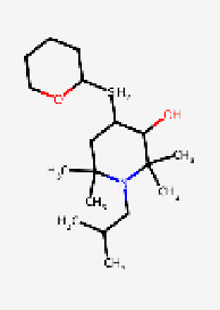 CC(C)CN1C(C)(C)CC([SiH2]C2CCCCO2)C(O)C1(C)C